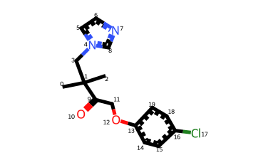 CC(C)(Cn1ccnc1)C(=O)COc1ccc(Cl)cc1